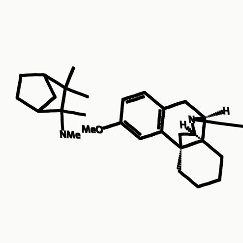 CNC1(C)C2CCC(C2)C1(C)C.COc1ccc2c(c1)[C@]13CCCC[C@@H]1[C@H](C2)N(C)CC3